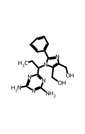 CCC(c1nc(N)nc(N)n1)n1c(-c2ccccc2)nc(CO)c1CO